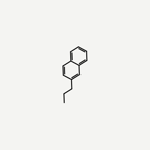 CCCc1[c]c2ccccc2cc1